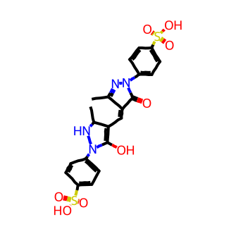 CC1=NN(c2ccc(S(=O)(=O)O)cc2)C(=O)C1=CC1=C(O)N(c2ccc(S(=O)(=O)O)cc2)NC1C